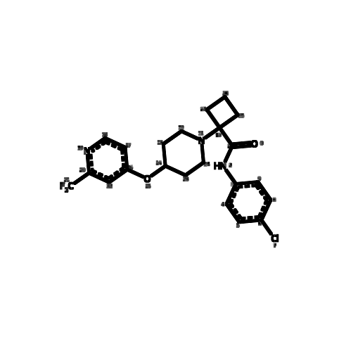 O=C(Nc1ccc(Cl)cc1)C1(N2CCC(Oc3ccnc(C(F)(F)F)c3)CC2)CCC1